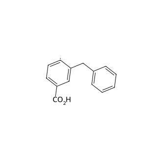 O=C(O)c1cc[c]c(Cc2ccccc2)c1